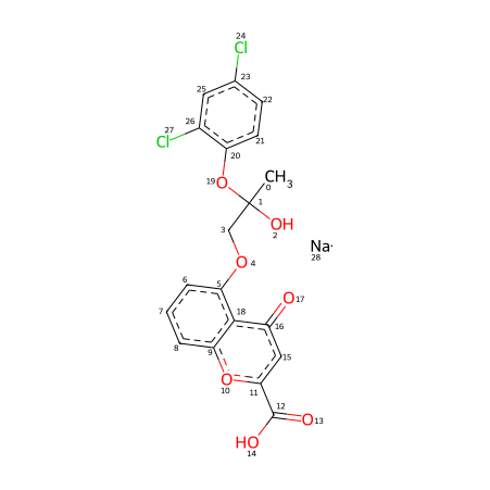 CC(O)(COc1cccc2oc(C(=O)O)cc(=O)c12)Oc1ccc(Cl)cc1Cl.[Na]